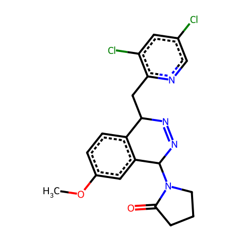 COc1ccc2c(c1)C(N1CCCC1=O)N=NC2Cc1ncc(Cl)cc1Cl